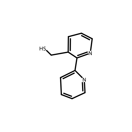 SCc1cccnc1-c1ccccn1